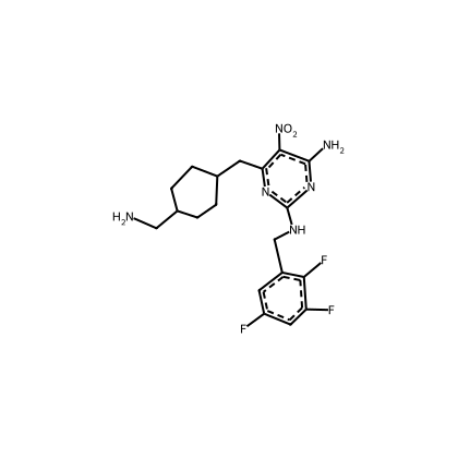 NCC1CCC(Cc2nc(NCc3cc(F)cc(F)c3F)nc(N)c2[N+](=O)[O-])CC1